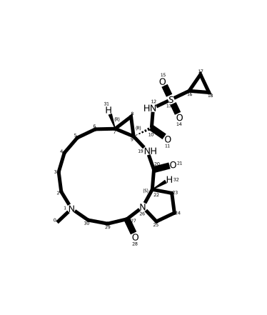 CN1CCCCC[C@@H]2C[C@@]2(C(=O)NS(=O)(=O)C2CC2)NC(=O)[C@@H]2CCCN2C(=O)CC1